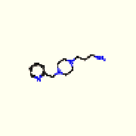 NCCCN1CCN(Cc2ccccn2)CC1